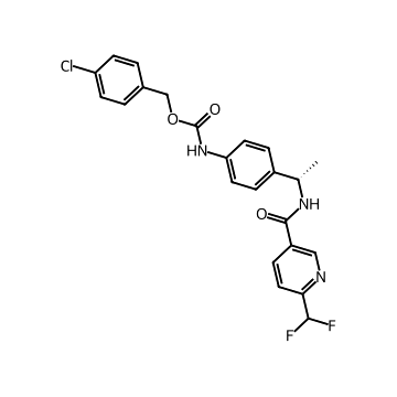 C[C@H](NC(=O)c1ccc(C(F)F)nc1)c1ccc(NC(=O)OCc2ccc(Cl)cc2)cc1